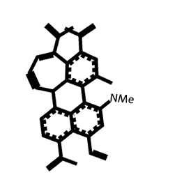 C=Cc1cc(NC)c2c3c(ccc(C(=C)C)c13)C1C#CC=C(C(=C)C)c3c(C(=C)C)cc(C)c-2c31